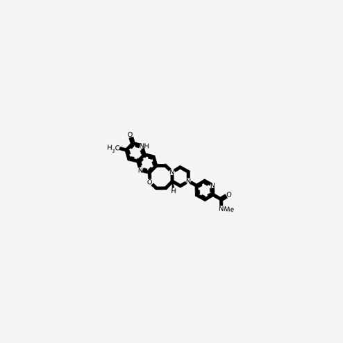 CNC(=O)c1ccc(N2CCN3Cc4cc5[nH]c(=O)c(C)cc5nc4OCC[C@H]3C2)cn1